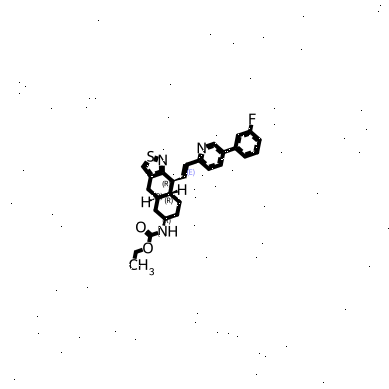 CCOC(=O)N[C@@H]1CC[C@@H]2[C@H](Cc3csnc3[C@H]2/C=C/c2ccc(-c3cccc(F)c3)cn2)C1